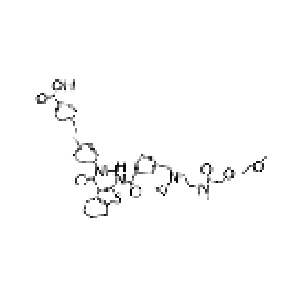 COCCOCC(=O)N(C)CCN(Cc1cccc(C(=O)Nc2sc3c(c2C(=O)Nc2ccc(CCc4ccc(C(=O)O)cc4)cc2)CCCC3)c1)C1CC1